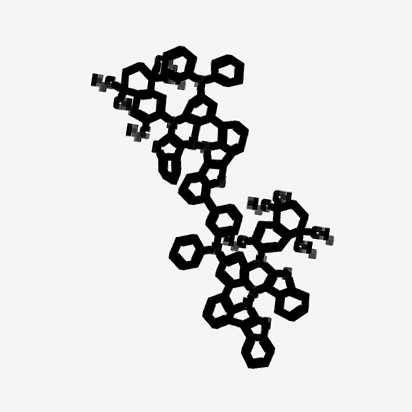 Cc1cc2c(cc1N1c3cc(N(c4ccccc4)c4cccc(-c5cccc6c5sc5c7cccc8c7n(c65)B5c6c-8cc(N(c7ccccc7)c7ccccc7)cc6N(c6cc7c(cc6C)C(C)(C)CCC7(C)C)c6sc7ccccc7c65)c4)cc4c3B(c3c1sc1ccccc31)n1c3sc5ccccc5c3c3cccc-4c31)C(C)(C)CCC2(C)C